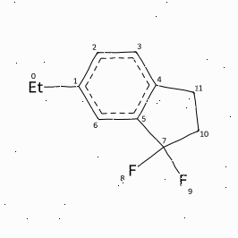 [CH2]Cc1ccc2c(c1)C(F)(F)CC2